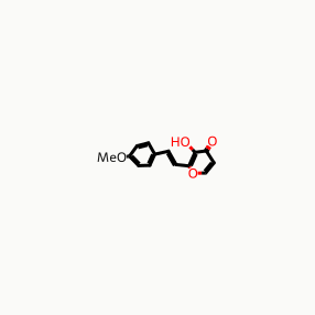 COc1ccc(C=Cc2occc(=O)c2O)cc1